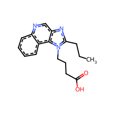 CCCc1nc2cnc3ccccc3c2n1CCCC(=O)O